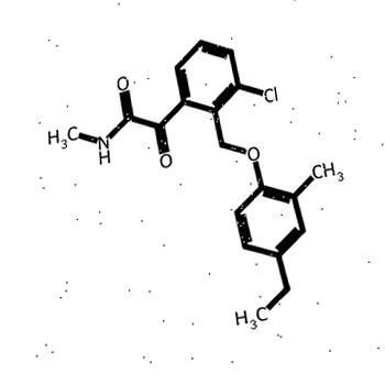 CCc1ccc(OCc2c(Cl)cccc2C(=O)C(=O)NC)c(C)c1